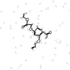 C=CCOc1cc(OCC(=O)OCC)ccc1C(C)=O